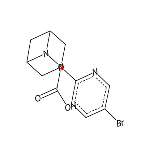 O=C(O)ON1C2CC1CN(c1ccc(Br)cn1)C2